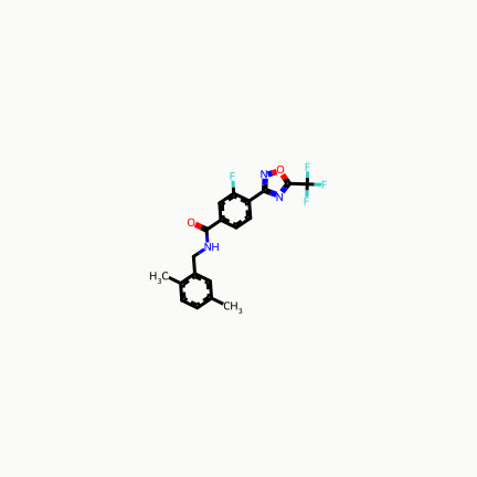 Cc1ccc(C)c(CNC(=O)c2ccc(-c3noc(C(F)(F)F)n3)c(F)c2)c1